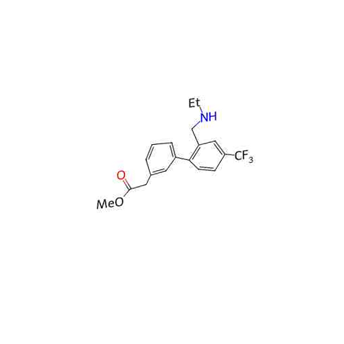 CCNCc1cc(C(F)(F)F)ccc1-c1cccc(CC(=O)OC)c1